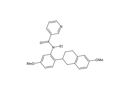 CCN(C(=O)c1cccnc1)c1cc(OC)ccc1C1CCc2cc(OC)ccc2C1